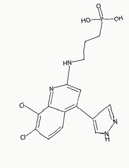 O=P(O)(O)CCCNc1cc(-c2cn[nH]c2)c2ccc(Cl)c(Cl)c2n1